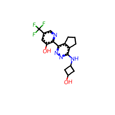 Oc1cc(C(F)(F)F)cnc1-c1nnc(NC2CC(O)C2)c2c1CCC2